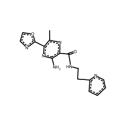 Cc1nc(C(=O)NCCc2ccccn2)c(N)nc1-c1ncco1